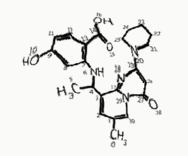 Cc1cc(C(C)Nc2cc(O)ccc2C(=O)O)c2nc(N3CCCCC3)cc(=O)n2c1